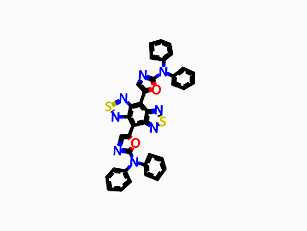 c1ccc(N(c2ccccc2)c2ncc(-c3c4c(c(-c5cnc(N(c6ccccc6)c6ccccc6)o5)c5nsnc35)N=S=N4)o2)cc1